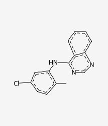 Cc1ccc(Cl)cc1Nc1ncnc2ccccc12